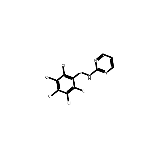 Clc1c(Cl)c(Cl)c(SNc2ncccn2)c(Cl)c1Cl